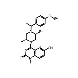 CC[C@H]1CN(c2nc(=O)n(C)c3ccc(C#N)nc23)[C@@H](C)CN1C(C)c1ccc(OC(C)C)cc1